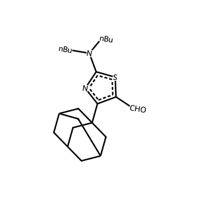 CCCCN(CCCC)c1nc(C23CC4CC(CC(C4)C2)C3)c(C=O)s1